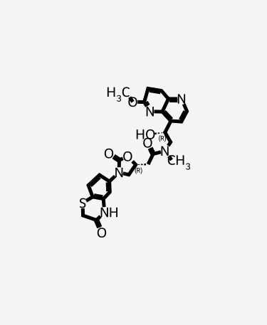 COc1ccc2nccc([C@@H](O)CN(C)C(=O)C[C@@H]3CN(c4ccc5c(c4)NC(=O)CS5)C(=O)O3)c2n1